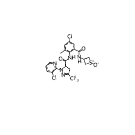 Cc1cc(Cl)cc(C(=O)NC2C[S+]([O-])C2)c1NC(=O)C1CC(C(F)(F)F)=NN1c1ncccc1Cl